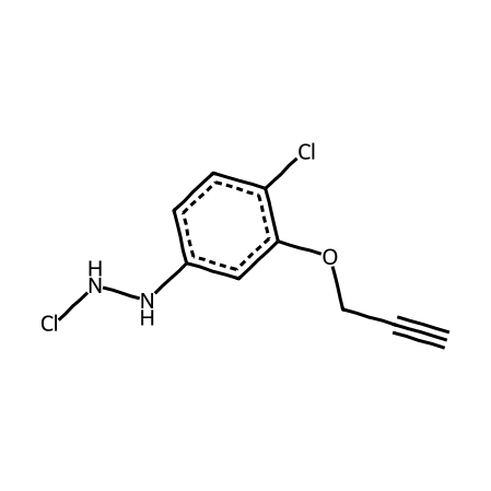 C#CCOc1cc(NNCl)ccc1Cl